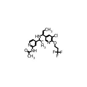 CC=C(NC(C)c1ccnc(NC(C)=O)c1)c1cnc(OCCC(F)(F)F)c(Cl)c1